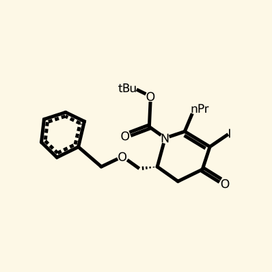 CCCC1=C(I)C(=O)C[C@H](COCc2ccccc2)N1C(=O)OC(C)(C)C